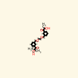 CC(O)C(=O)c1cccc(COCCOCc2cccc(C(=O)C(C)(C)O)c2)c1